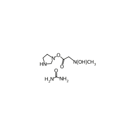 CN(O)CC(=O)ON1CCNC1.NC(N)=O